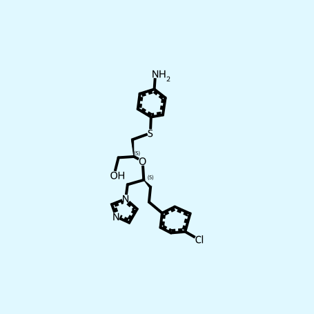 Nc1ccc(SC[C@H](CO)O[C@@H](CCc2ccc(Cl)cc2)Cn2ccnc2)cc1